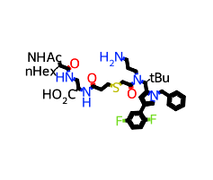 CCCCCC[C@H](NC(C)=O)C(=O)NC[C@@H](NC(=O)CCSCC(=O)N(CCCN)[C@@H](c1cc(-c2cc(F)ccc2F)cn1Cc1ccccc1)C(C)(C)C)C(=O)O